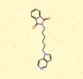 O=C1c2ccccc2C(=O)N1CCCCCCn1ccc2cnccc21